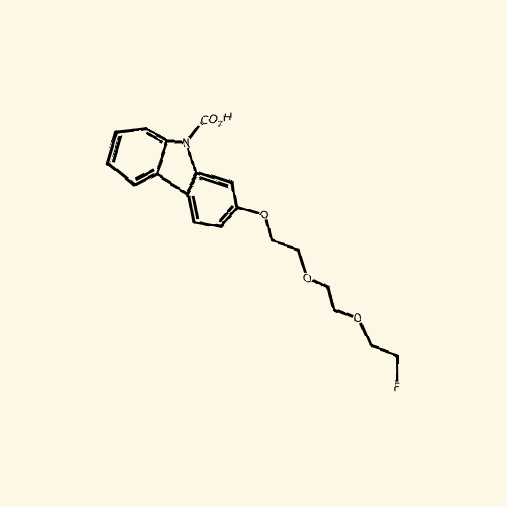 O=C(O)n1c2ccccc2c2ccc(OCCOCCOCCF)cc21